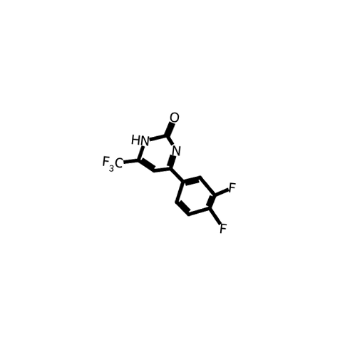 O=c1nc(-c2ccc(F)c(F)c2)cc(C(F)(F)F)[nH]1